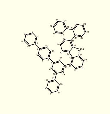 c1ccc(-c2ccc(-c3nc(-c4ccccc4)nc(-c4cccc5oc6c(-c7ccccc7-c7ccccc7)cccc6c45)n3)cc2)cc1